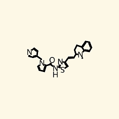 CN1c2ccccc2CCC1/C=C/c1csc(NC(=O)c2cccn2Cc2ccncc2)n1